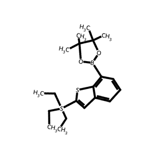 CCS(CC)(CC)c1cc2cccc(B3OC(C)(C)C(C)(C)O3)c2s1